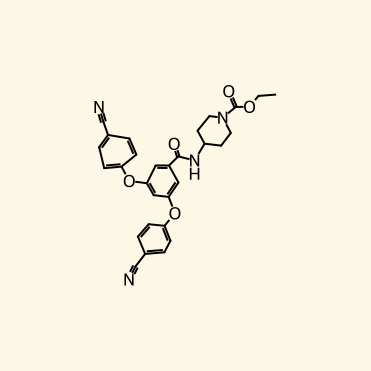 CCOC(=O)N1CCC(NC(=O)c2cc(Oc3ccc(C#N)cc3)cc(Oc3ccc(C#N)cc3)c2)CC1